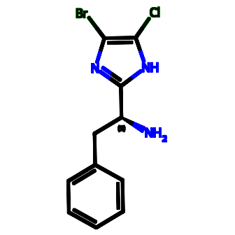 N[C@@H](Cc1ccccc1)c1nc(Br)c(Cl)[nH]1